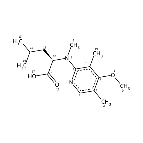 COc1c(C)cnc(N(C)[C@H](CC(C)C)C(=O)O)c1C